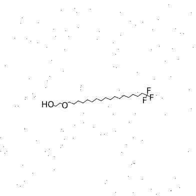 OCCOCCCCCCCCCCCCCCCCCC(F)(F)F